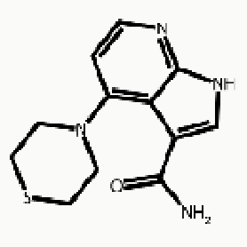 NC(=O)c1c[nH]c2nccc(N3CCSCC3)c12